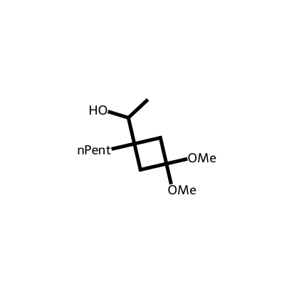 CCCCCC1(C(C)O)CC(OC)(OC)C1